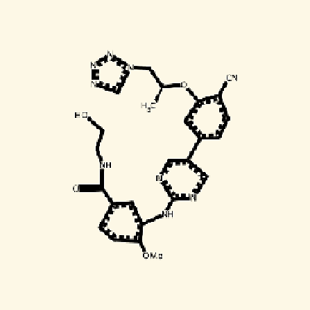 COc1ccc(C(=O)NCCO)cc1Nc1ncc(-c2ccc(C#N)c(O[C@@H](C)Cn3cnnn3)c2)cn1